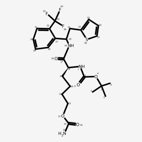 CC(C)(C)OC(=O)N[C@@H](CCCCOC(N)=O)C(=O)NC(Cc1cccs1)c1ccccc1C(F)(F)F